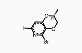 C[C@H]1COc2c(cc(I)nc2Br)O1